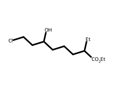 CCOC(=O)C(CC)CCCC(O)CCCl